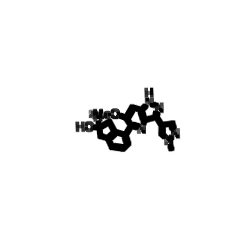 [2H]C1(O)Cc2cccc(-c3nc4c(-c5cnn(C)c5)n[nH]c4cc3OC)c2C1